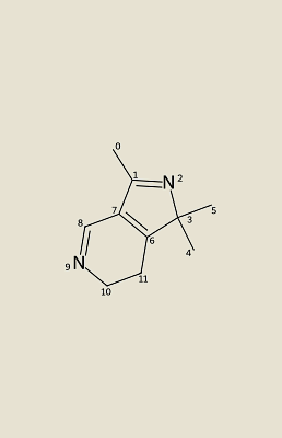 CC1=NC(C)(C)C2=C1C=NCC2